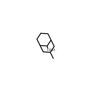 CCOC(=O)C1C2CCCC1CC(C)C2